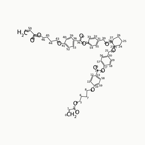 C=CC(=O)OCCCCOc1ccc(C(=O)Oc2ccc(CO[C@@H]3CCCC[C@H]3OCc3ccc(OC(=O)c4ccc(OCCCCOC(=O)C=C)cc4)cc3)cc2)cc1